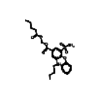 CCCCNc1cc(C(=O)OCOC(=O)CCCC)cc(S(N)(=O)=O)c1Oc1ccccc1